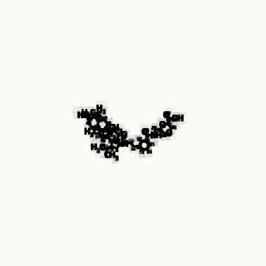 C=C(C)[C@@H]1CC[C@]2(C(=O)NCCc3cccc(C(=O)NCC4COCC(C(=O)O)O4)c3)CC[C@]3(C)C(CCC4[C@@]5(C)CC[C@H](O)C(C)(C)C5CC[C@]43C)C12